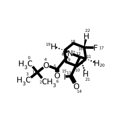 CC(C)(C)OC(=O)N1[C@H]2CC[C@@H]([C@H]1C(=O)I)[C@@H](F)C2